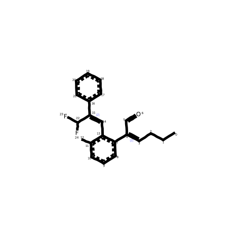 CCC/C=C(\C=O)c1cccc(C)c1/C=C(/c1ccccc1)C(F)F